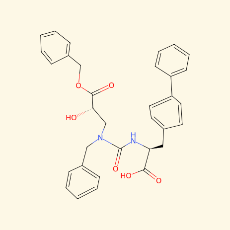 O=C(O)[C@H](Cc1ccc(-c2ccccc2)cc1)NC(=O)N(Cc1ccccc1)C[C@H](O)C(=O)OCc1ccccc1